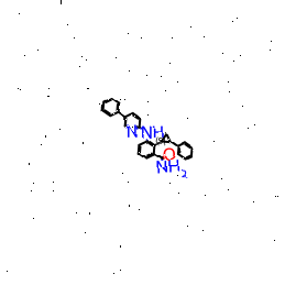 NC(=O)c1cccc(Nc2ccc(-c3ccccc3)cn2)c1[C@H]1CC1c1ccccc1